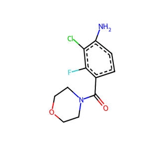 Nc1ccc(C(=O)N2CCOCC2)c(F)c1Cl